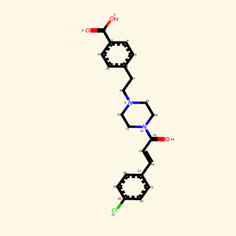 O=C(O)c1ccc(CCN2CCN(C(=O)/C=C/c3ccc(Cl)cc3)CC2)cc1